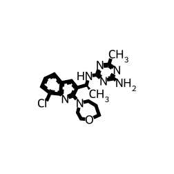 Cc1nc(N)nc(N[C@@H](C)c2cc3cccc(Cl)c3nc2N2CCCOCC2)n1